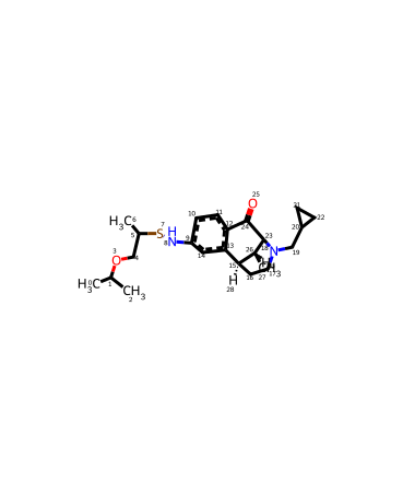 CC(C)OCC(C)SNc1ccc2c(c1)[C@@H]1CCN(CC3CC3)C(C2=O)[C@@H]1C